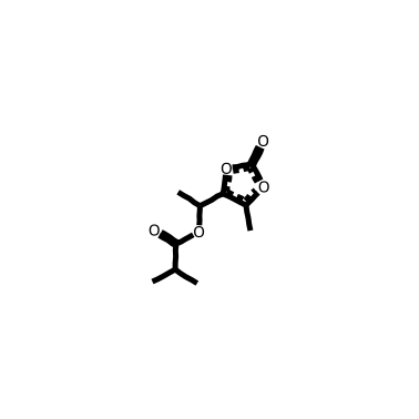 Cc1oc(=O)oc1C(C)OC(=O)C(C)C